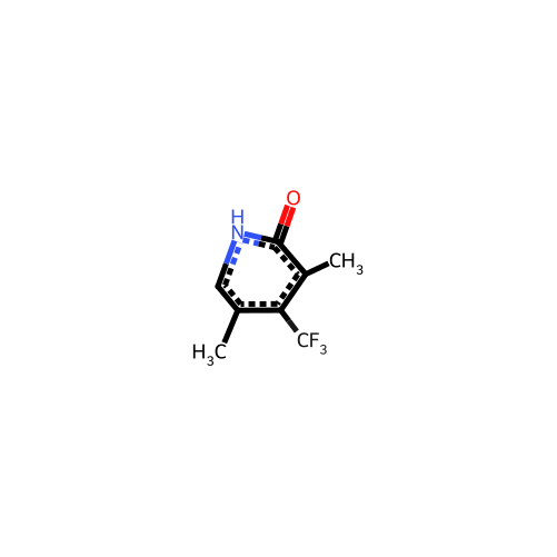 Cc1c[nH]c(=O)c(C)c1C(F)(F)F